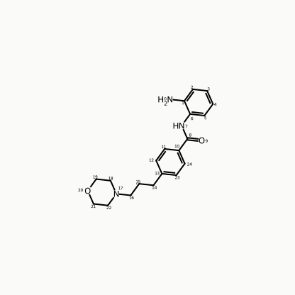 Nc1ccccc1NC(=O)c1ccc(C[CH]CN2CCOCC2)cc1